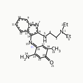 CCN(CC)CCNc1nn2ccccc2c1/N=C1\C=C(C)C(=O)C=C1N